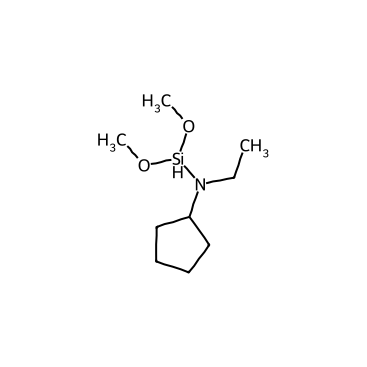 CCN(C1CCCC1)[SiH](OC)OC